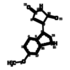 COc1ccc2c(C3=CC(=O)NC3=O)c[nH]c2c1